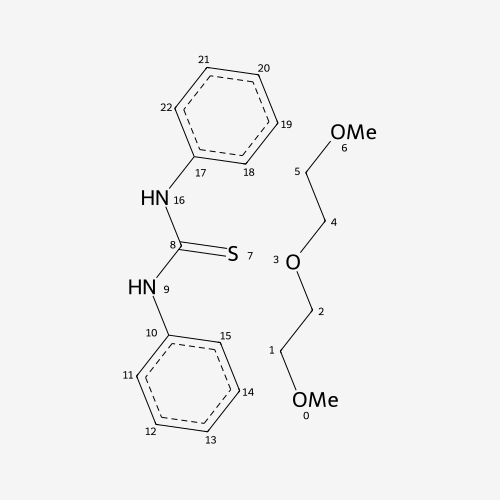 COCCOCCOC.S=C(Nc1ccccc1)Nc1ccccc1